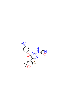 CN(C)[C@H]1CC[C@H](Oc2nc(Nc3cnoc3)nc3sc4c(c23)CC(C)(C)OC4)CC1